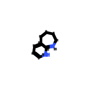 [CH]1CCCC2=CC=CNC2=N1